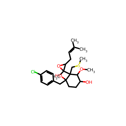 COC1C(O)CCC(O)(Cc2ccc(Cl)cc2)C1(CSC)C1(C)OC1CC=C(C)C